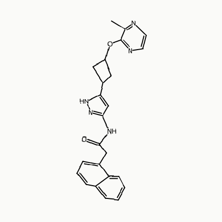 Cc1nccnc1OC1CC(c2cc(NC(=O)Cc3cccc4ccccc34)n[nH]2)C1